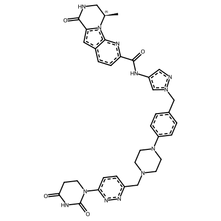 C[C@@H]1CNC(=O)c2cc3ccc(C(=O)Nc4cnn(Cc5ccc(N6CCN(Cc7ccc(N8CCC(=O)NC8=O)nn7)CC6)cc5)c4)nc3n21